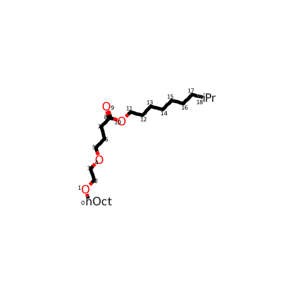 CCCCCCCCOCCOCCCC(=O)OCCCCCCCC(C)C